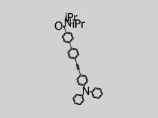 CC(C)N(C(=O)c1ccc(-c2ccc(C#Cc3ccc(N(c4ccccc4)c4ccccc4)cc3)cc2)cc1)C(C)C